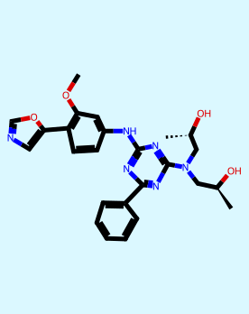 COc1cc(Nc2nc(-c3ccccc3)nc(N(C[C@H](C)O)C[C@H](C)O)n2)ccc1-c1cnco1